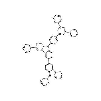 c1ccc(-c2cc(-c3ccccc3)cc(-c3ccc(-n4c5ccc(-c6ccccc6)cc5c5cc(-c6ccc7c(c6)c6ccccc6n7-c6ccccc6)ccc54)cc3)c2)cc1